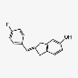 Oc1ccc2c(c1)CC(=Cc1ccc(F)cc1)C2